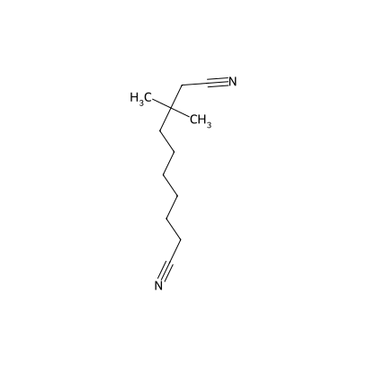 CC(C)(CC#N)CCCCCCC#N